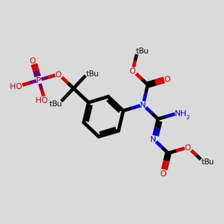 CC(C)(C)OC(=O)N=C(N)N(C(=O)OC(C)(C)C)c1cccc(C(OP(=O)(O)O)(C(C)(C)C)C(C)(C)C)c1